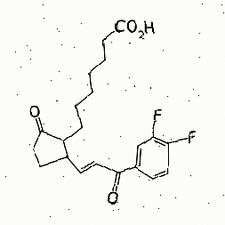 O=C(O)CCCCCCC1C(=O)CCC1C=CC(=O)c1ccc(F)c(F)c1